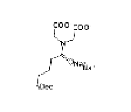 CCCCCCCCCCCCCC(=O)N(CC(=O)[O-])CC(=O)[O-].[Na+].[Na+]